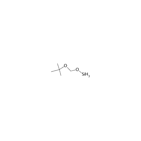 CC(C)(C)OCO[SiH3]